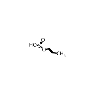 CC=COS(=O)O